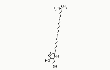 CN(C)CCCCCCCCCCCCCCCCCC(=O)NC(CCS)C(=O)O